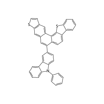 c1ccc(-n2c3ccccc3c3cc(-c4cc5cc6sccc6cc5c5c4ccc4c6ccccc6sc45)ccc32)cc1